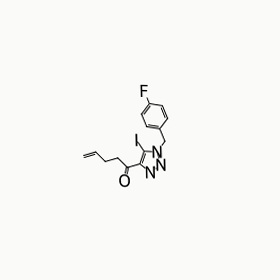 C=CCCC(=O)c1nnn(Cc2ccc(F)cc2)c1I